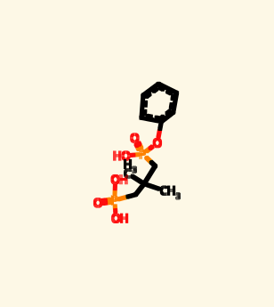 CC(C)(CP(=O)(O)O)CP(=O)(O)Oc1ccccc1